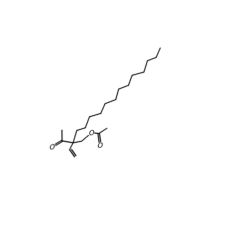 C=CC(CCCCCCCCCCCCC)(COC(C)=O)C(C)=O